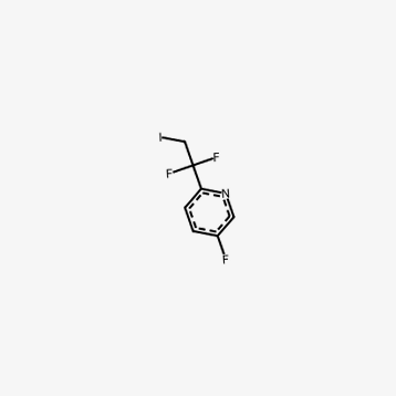 Fc1ccc(C(F)(F)CI)nc1